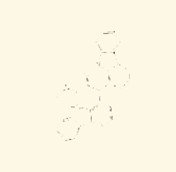 C=NOC(=O)C(c1cccc2c1[nH]c1ccccc12)c1cccc2c1[nH]c1ccccc12